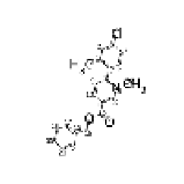 Cc1cc(Cl)ccc1-c1ccc(C(=O)OCc2ccccc2)c[n+]1C